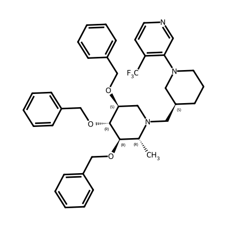 C[C@@H]1[C@@H](OCc2ccccc2)[C@H](OCc2ccccc2)[C@@H](OCc2ccccc2)CN1C[C@@H]1CCCN(c2cnccc2C(F)(F)F)C1